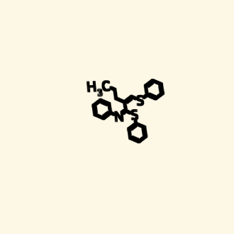 CCCC(=CSc1ccccc1)C(=Nc1ccccc1)Sc1ccccc1